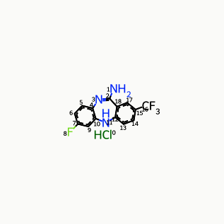 Cl.NC1=Nc2ccc(F)cc2Nc2ccc(C(F)(F)F)cc21